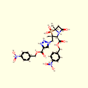 C[C@]1(Cn2cc(C(=O)OCc3ccc([N+](=O)[O-])cc3)nn2)[C@H](C(=O)OCc2ccc([N+](=O)[O-])cc2)N2C(=O)C[C@H]2S1(=O)=O